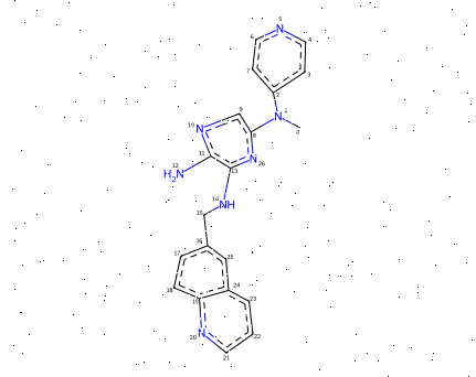 CN(c1ccncc1)c1cnc(N)c(NCc2ccc3ncccc3c2)n1